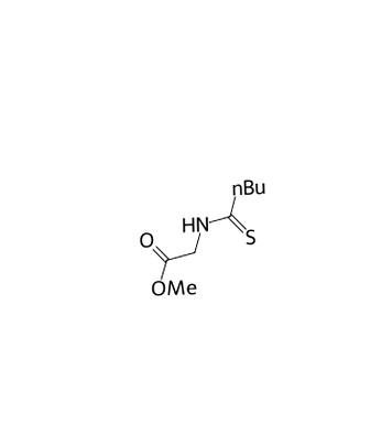 CCCCC(=S)NCC(=O)OC